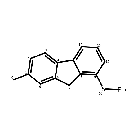 Cc1ccc2c(c1)Cc1c(SF)cccc1-2